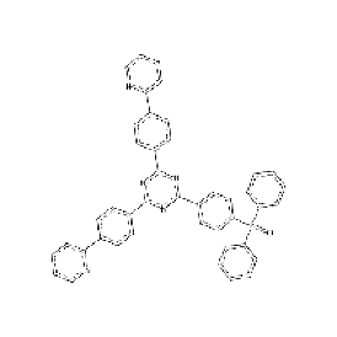 O=P(c1ccccc1)(c1ccccc1)c1ccc(-c2nc(-c3ccc(-c4ccccn4)cc3)nc(-c3ccc(-c4ccccn4)cc3)n2)cc1